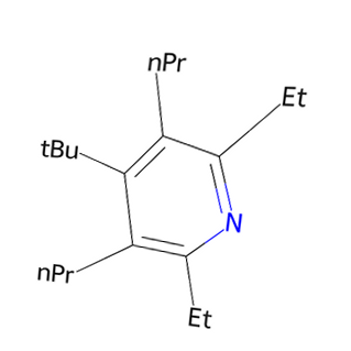 CCCc1c(CC)nc(CC)c(CCC)c1C(C)(C)C